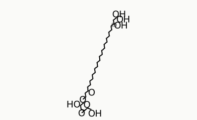 O=C(CCCCCCCCCCCCCCCCCCCCC[C@H](O)CC(O)O)CCOC1OC(CO)C2OC2C1O